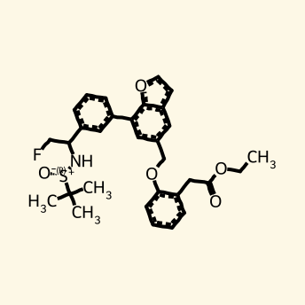 CCOC(=O)Cc1ccccc1OCc1cc(-c2cccc(C(CF)N[S@@+]([O-])C(C)(C)C)c2)c2occc2c1